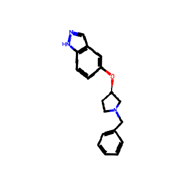 c1ccc(CN2CC[C@@H](Oc3ccc4[nH]ncc4c3)C2)cc1